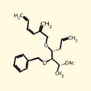 C=C/C=C\C(=C)CO[C@H](CC=C)[C@H](OCc1ccccc1)[C@@H](C)OC(C)=O